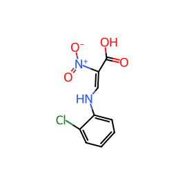 O=C(O)C(=CNc1ccccc1Cl)[N+](=O)[O-]